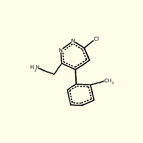 Cc1ccccc1-c1cc(Cl)nnc1CN